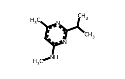 CNc1cc(C)nc(C(C)C)n1